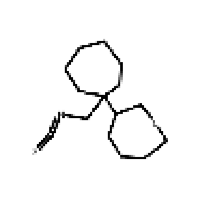 S=C=NCC1(C2CCCCCC2)CCCCCC1